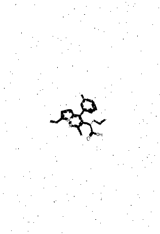 CCC[C@H](C(=O)O)c1c(C)nn2c(CC)ccc2c1-c1cccc(C)c1